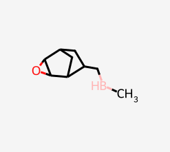 CBCC1CC2CC1C1OC21